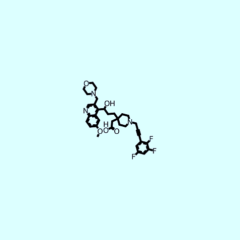 COc1ccc2ncc(CN3CCOCC3)c(C(O)CCC3(CC(=O)O)CCN(CC#Cc4cc(F)cc(F)c4F)CC3)c2c1